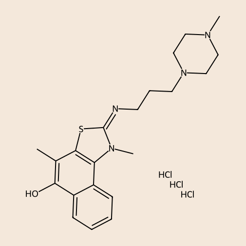 Cc1c(O)c2ccccc2c2c1sc(=NCCCN1CCN(C)CC1)n2C.Cl.Cl.Cl